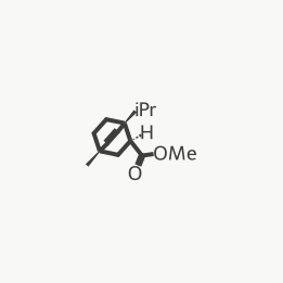 COC(=O)[C@H]1C[C@@]2(C)C=C[C@]1(C(C)C)CC2